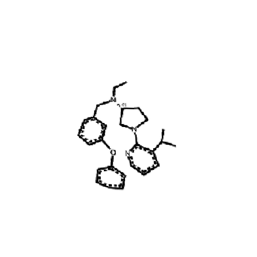 CCN(Cc1cccc(Oc2ccccc2)c1)[C@@H]1CCN(c2ncccc2C(C)C)C1